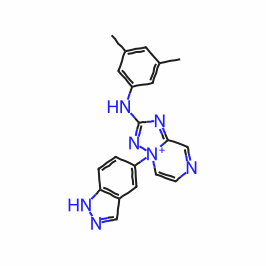 Cc1cc(C)cc(NC2=N[N+]3(c4ccc5[nH]ncc5c4)C=CN=CC3=N2)c1